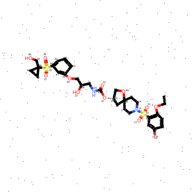 CCOc1ccc(Br)cc1S(=O)(=O)N1CCC2(CC1)C[C@H](OC(=O)NCC(O)COc1cccc(S(=O)(=O)C3(CO)CC3)c1)CO2